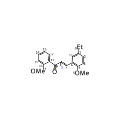 CCc1ccc(OC)c(/C=C/C(=O)c2ccccc2OC)c1